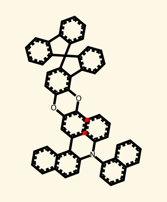 c1ccc(N(c2ccc3ccccc3c2-c2ccc3c(c2)Oc2ccc4c(c2O3)-c2ccccc2C42c3ccccc3-c3ccccc32)c2cccc3ccccc23)cc1